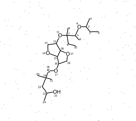 CCC(C)OC(C)C(C)(CC)OC1COC2C(OSC(C)(C)CC(C)O)COC12